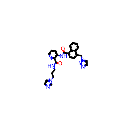 O=C(NCCCn1ccnc1)c1ncccc1NC(=O)c1ccc(Cn2ccnn2)c2ccccc12